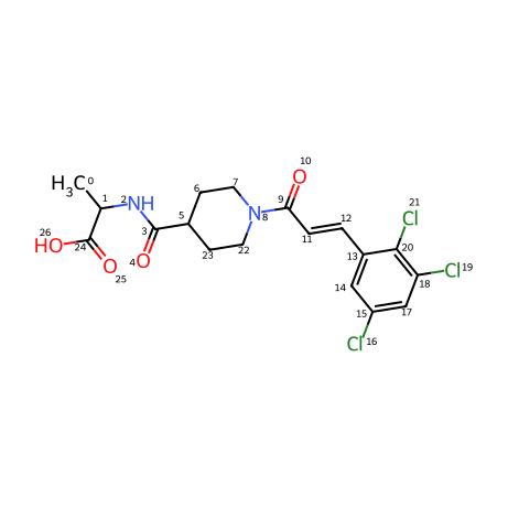 CC(NC(=O)C1CCN(C(=O)C=Cc2cc(Cl)cc(Cl)c2Cl)CC1)C(=O)O